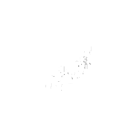 O=C(Nc1nc2cc(F)ccc2o1)c1cc(NC(=O)[C@H]2[C@H](c3cc(Cl)cc(Cl)c3)C2(Cl)Cl)ccc1Cl